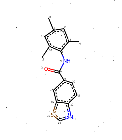 Cc1cc(C)c(NC(=O)c2ccc3n[c]sc3c2)c(C)c1